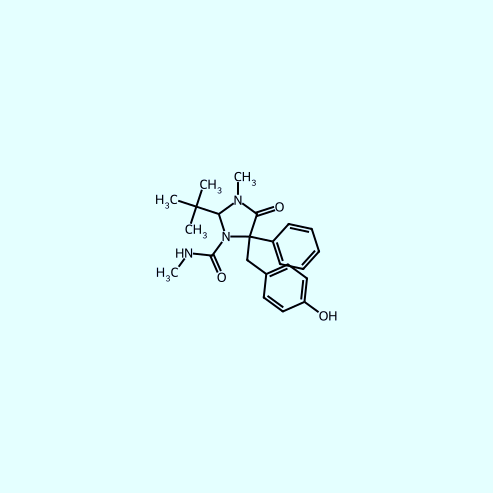 CNC(=O)N1C(C(C)(C)C)N(C)C(=O)C1(Cc1ccc(O)cc1)c1ccccc1